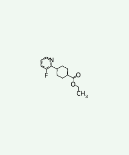 CCOC(=O)C1CCC(c2ncccc2F)CC1